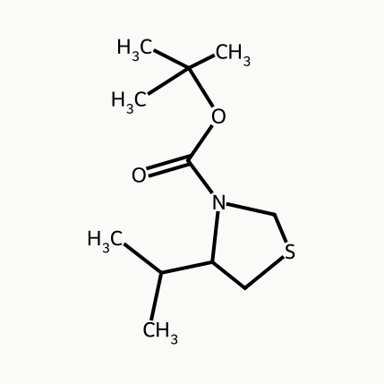 CC(C)C1CSCN1C(=O)OC(C)(C)C